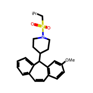 COc1ccc2c(c1)C(C1CCN(S(=O)(=O)CC(C)C)CC1)c1ccccc1C=C2